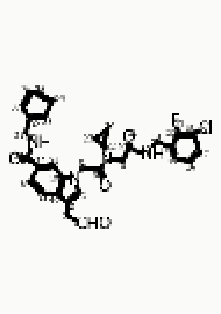 O=CCc1cn(CC(=O)N(CC(=O)NCc2cccc(Cl)c2F)C2CC2)c2cc(C(=O)NCc3ccccc3)ccc12